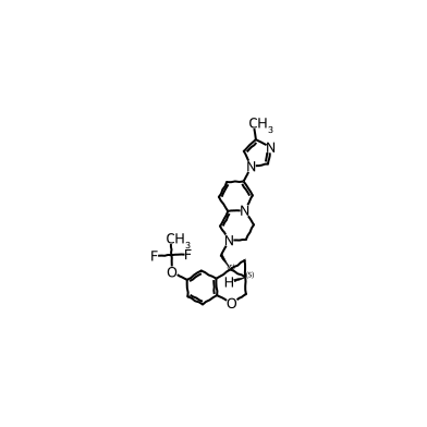 Cc1cn(C2=CN3CCN(C[C@@]45C[C@@H]4COc4ccc(OC(C)(F)F)cc45)C=C3C=C2)cn1